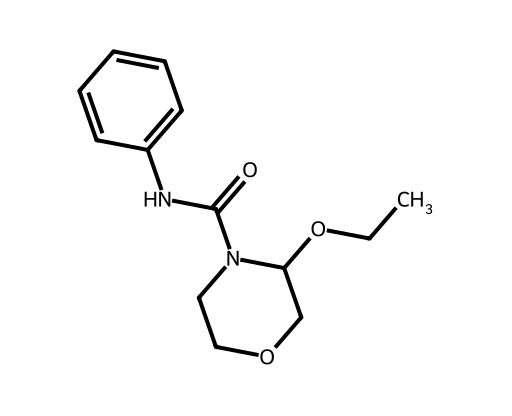 CCOC1COCCN1C(=O)Nc1ccccc1